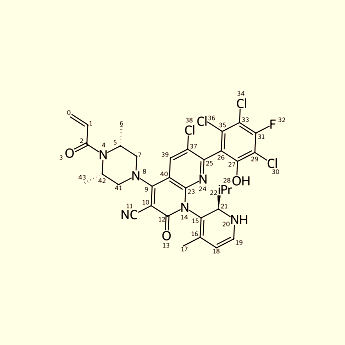 C=CC(=O)N1[C@H](C)CN(c2c(C#N)c(=O)n(C3=C(C)C=CN[C@@H]3C(C)C)c3nc(-c4c(O)c(Cl)c(F)c(Cl)c4Cl)c(Cl)cc23)C[C@@H]1C